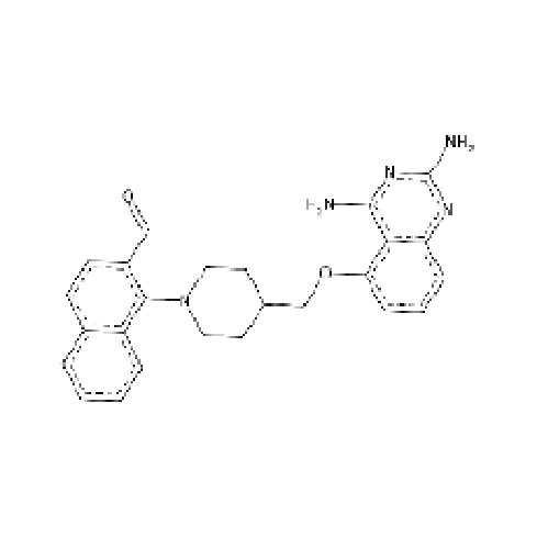 Nc1nc(N)c2c(OCC3CCN(c4c(C=O)ccc5ccccc45)CC3)cccc2n1